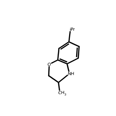 CC1COc2cc(C(C)C)ccc2N1